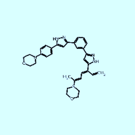 C=C/C(=C\C=C(/C)N1CCOCC1)c1cc(-c2cccc(-c3cc(-c4ccc(N5CCOCC5)cc4)[nH]n3)c2)n[nH]1